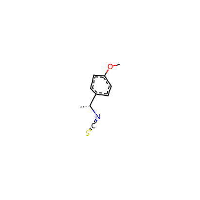 COc1ccc([C@@H](C)N=C=S)cc1